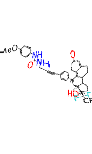 COc1ccc(NC(=O)NCC#Cc2ccc([C@H]3C[C@@]4(C)C(CC[C@@]4(O)C(F)(F)C(F)(F)F)C4CCC5=CC(=O)CCC5=C43)cc2)cc1